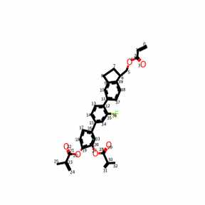 C=CC(=O)OCC1CCc2cc(-c3ccc(-c4ccc(OC(=O)C(=C)C)c(OC(=O)C(=C)C)c4)cc3F)ccc21